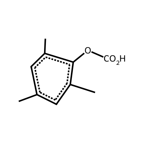 Cc1cc(C)c(OC(=O)O)c(C)c1